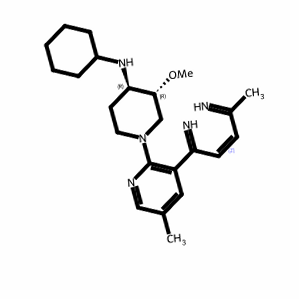 CO[C@@H]1CN(c2ncc(C)cc2C(=N)/C=C\C(C)=N)CC[C@H]1NC1CCCCC1